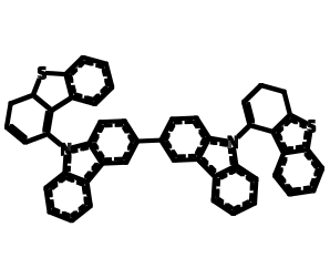 C1=CC(n2c3ccccc3c3cc(-c4ccc5c(c4)c4ccccc4n5C4=CCCc5sc6ccccc6c54)ccc32)=C2c3ccccc3SC2C1